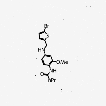 CCCC(=O)Nc1ccc(NCc2ccc(Br)s2)cc1OC